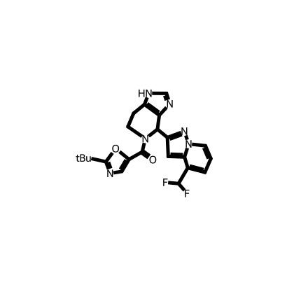 CC(C)(C)c1ncc(C(=O)N2CCc3[nH]cnc3C2c2cc3c(C(F)F)cccn3n2)o1